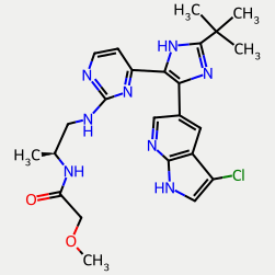 COCC(=O)N[C@@H](C)CNc1nccc(-c2[nH]c(C(C)(C)C)nc2-c2cnc3[nH]cc(Cl)c3c2)n1